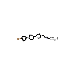 O=C(O)/C=C/CC[C@H]1CC[C@H]([C@H]2CC[C@H](c3ccc(Br)cc3)CC2)CC1